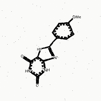 COc1ccc(C2=[N+]c3[nH]c(=O)[nH]c(=O)c3N2)cc1